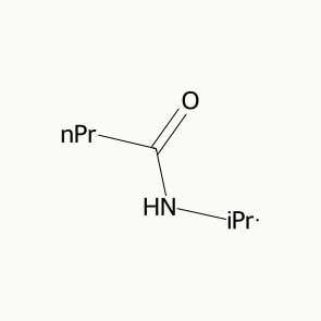 CCCC(=O)N[C](C)C